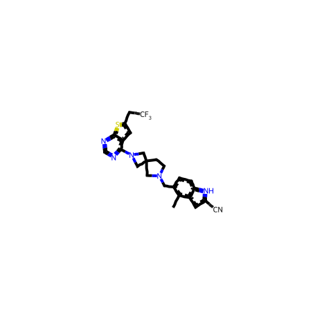 Cc1c(CN2CCC3(C2)CN(c2ncnc4sc(CC(F)(F)F)cc24)C3)ccc2[nH]c(C#N)cc12